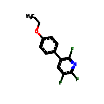 CCOc1ccc(-c2cc(F)c(F)nc2F)cc1